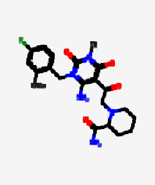 CCn1c(=O)c(C(=O)CN2CCCCC2C(N)=O)c(N)n(Cc2ccc(F)cc2OC)c1=O